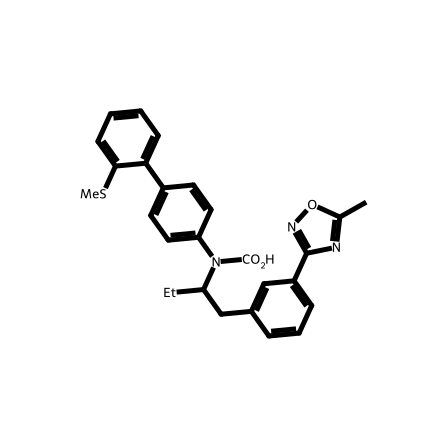 CCC(Cc1cccc(-c2noc(C)n2)c1)N(C(=O)O)c1ccc(-c2ccccc2SC)cc1